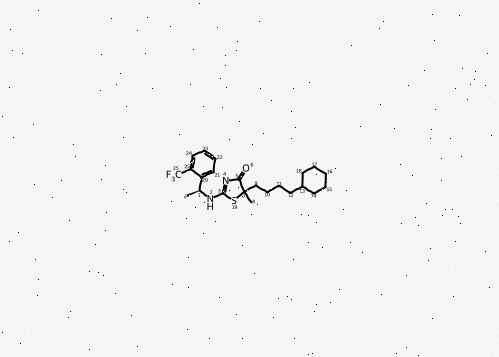 C[C@H](NC1=NC(=O)C(C)(CCCCC2CCCCC2)S1)c1ccccc1C(F)(F)F